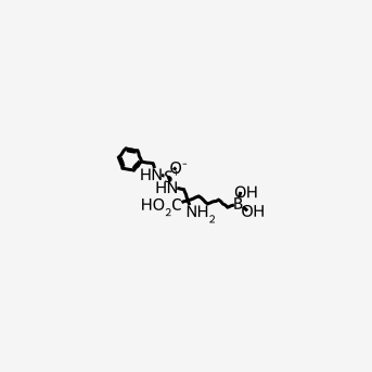 NC(CCCCB(O)O)(CN[S+]([O-])NCc1ccccc1)C(=O)O